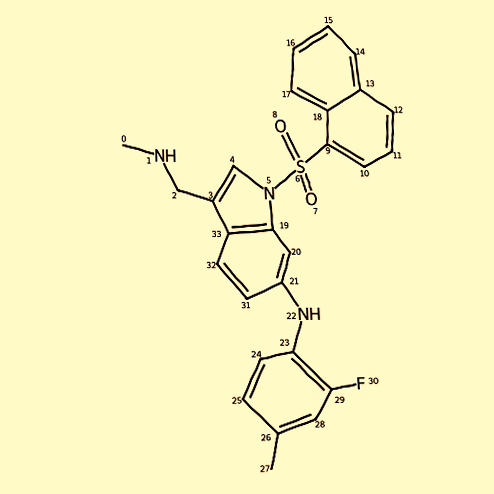 CNCc1cn(S(=O)(=O)c2cccc3ccccc23)c2cc(Nc3ccc(C)cc3F)ccc12